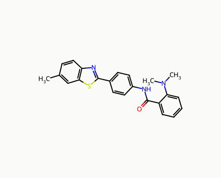 Cc1ccc2nc(-c3ccc(NC(=O)c4ccccc4N(C)C)cc3)sc2c1